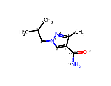 Cc1nn(CC(C)C)cc1C(N)=O